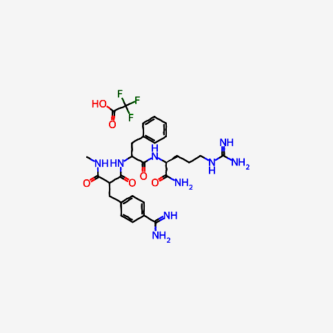 CNC(=O)C(Cc1ccc(C(=N)N)cc1)C(=O)NC(Cc1ccccc1)C(=O)N[C@@H](CCCNC(=N)N)C(N)=O.O=C(O)C(F)(F)F